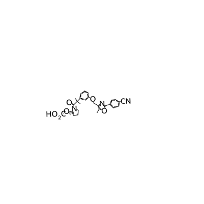 Cc1oc(-c2ccc(C#N)cc2)nc1COc1cccc(C(C)(C)C(=O)N2CCC[C@H]2OC(=O)O)c1